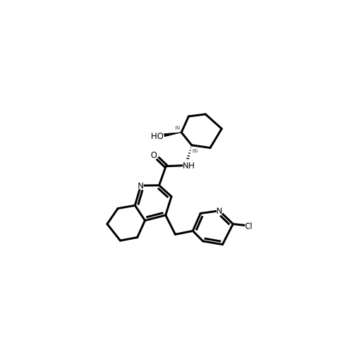 O=C(N[C@H]1CCCC[C@@H]1O)c1cc(Cc2ccc(Cl)nc2)c2c(n1)CCCC2